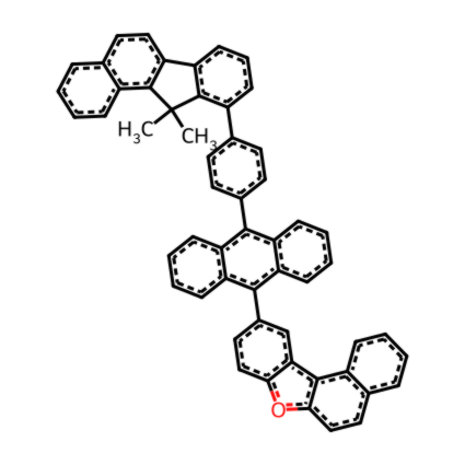 CC1(C)c2c(-c3ccc(-c4c5ccccc5c(-c5ccc6oc7ccc8ccccc8c7c6c5)c5ccccc45)cc3)cccc2-c2ccc3ccccc3c21